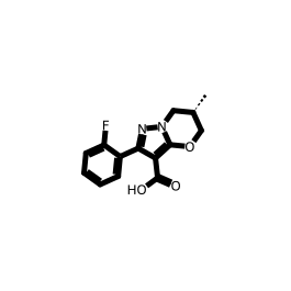 C[C@@H]1COc2c(C(=O)O)c(-c3ccccc3F)nn2C1